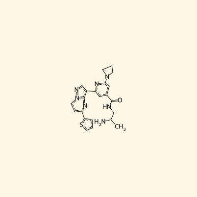 CC(N)CNC(=O)c1cc(-c2cnn3ccc(-c4cccs4)nc23)nc(N2CCC2)c1